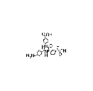 CN(C)CC(=O)Nc1cccc([C@H](NC(=O)c2ccc(CN)cc2)C(=O)Nc2ccc(C(=O)O)cc2)c1